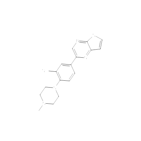 CN1CCN(c2ccc(-c3cnc4[nH]ccc4n3)cc2C#N)CC1